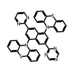 c1cnc(-c2cc(N3c4ccccc4Sc4ccccc43)c3cc(-c4ncncn4)cc(N4c5ccccc5Sc5ccccc54)c3c2)nc1